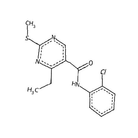 CCc1nc(SC)ncc1C(=O)Nc1ccccc1Cl